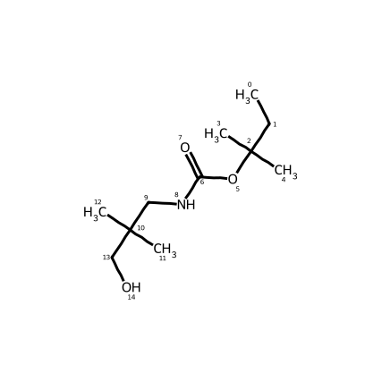 CCC(C)(C)OC(=O)NCC(C)(C)CO